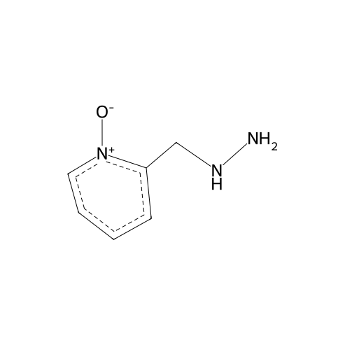 NNCc1cccc[n+]1[O-]